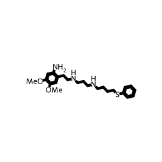 COc1cc(N)c(CCNCCCNCCCCSc2ccccc2)cc1OC